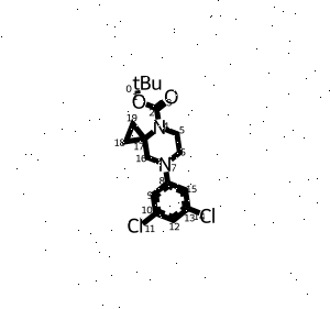 CC(C)(C)OC(=O)N1CCN(c2cc(Cl)cc(Cl)c2)CC12CC2